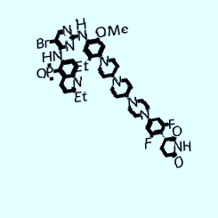 CCc1ccc2c(P(C)(C)=O)c(Nc3nc(Nc4cc(CC)c(N5CCC(N6CCC(N7CCN(c8cc(F)c([C@H]9CCC(=O)NC9=O)c(F)c8)CC7)CC6)CC5)cc4OC)ncc3Br)ccc2n1